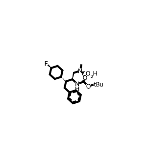 CN(C[C@@H](NC(=O)OC(C)(C)C)C(Cc1ccccc1)[C@H]1CC[C@H](F)CC1)C(=O)O